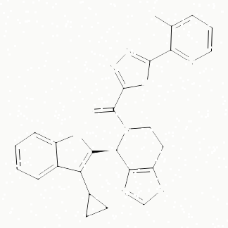 O=C(c1nnc(-c2ncccc2F)o1)N1CCc2[nH]cnc2[C@H]1c1oc2ccccc2c1C1CC1